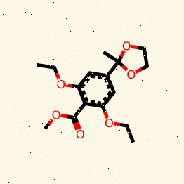 CCOc1cc(C2(C)OCCO2)cc(OCC)c1C(=O)OC